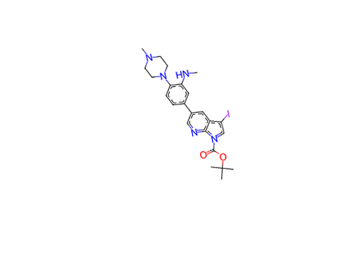 CNc1cc(-c2cnc3c(c2)c(I)cn3C(=O)OC(C)(C)C)ccc1N1CCN(C)CC1